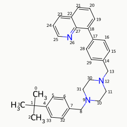 CC(C)(C)c1ccc(CN2CCN(Cc3ccc(-c4cccc5cccnc45)cc3)CC2)cc1